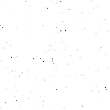 [Cl-].[Cl-].[Cl-].[Na+].[O+2]